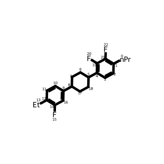 CCCc1ccc(C2CCC(c3ccc(CC)c(F)c3)CC2)c(F)c1F